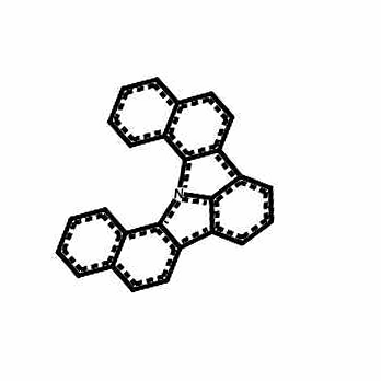 c1ccc2c(c1)ccc1c3cccc4c5ccc6ccccc6c5n(c21)c34